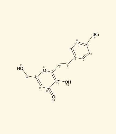 CC(C)(C)c1ccc(/C=C/c2oc(CO)cc(=O)c2O)cc1